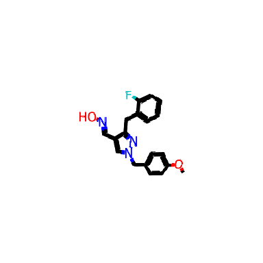 COc1ccc(Cn2cc(C=NO)c(Cc3ccccc3F)n2)cc1